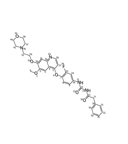 COc1cc2c(Oc3ccc(NC(=O)NC(=O)Cc4ccccc4)cc3F)ccnc2cc1OCCN1CCOCC1